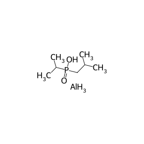 CC(C)CP(=O)(O)C(C)C.[AlH3]